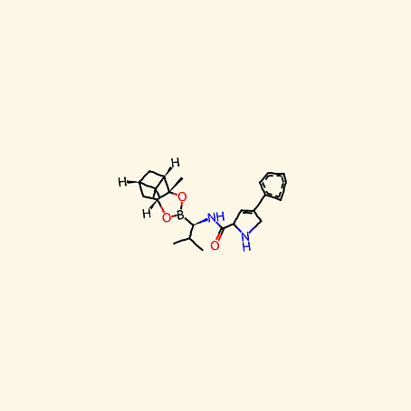 CC(C)[C@H](NC(=O)C1C=C(c2ccccc2)CN1)B1O[C@@H]2C[C@@H]3C[C@@H](C3(C)C)[C@]2(C)O1